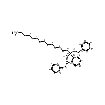 CCCCCCCCCCCCCCC(O)(OCc1ccccc1)c1ccccc1OCc1ccccc1